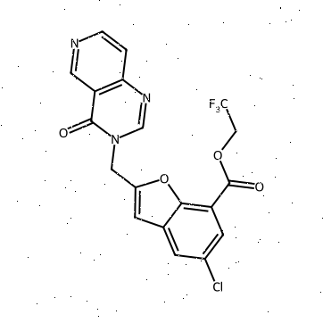 O=C(OCC(F)(F)F)c1cc(Cl)cc2cc(Cn3cnc4ccncc4c3=O)oc12